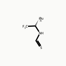 CC[C@@H](C)C(NC=S)C(F)(F)F